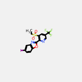 CCS(=O)(=O)c1cc(C(F)(F)F)cnc1-c1nc2cc(I)ccc2o1